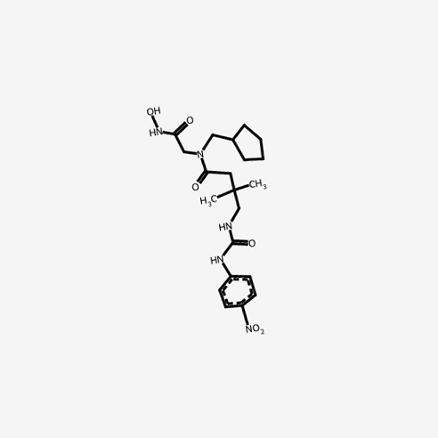 CC(C)(CNC(=O)Nc1ccc([N+](=O)[O-])cc1)CC(=O)N(CC(=O)NO)CC1CCCC1